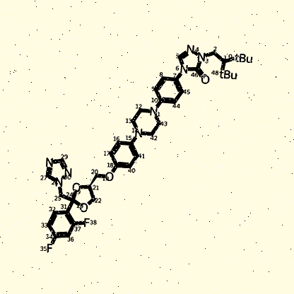 CC(C)(C)C(Cn1ncn(-c2ccc(N3CCN(c4ccc(OC[C@H]5COC(Cn6cncn6)(c6ccc(F)cc6F)O5)cc4)CC3)cc2)c1=O)C(C)(C)C